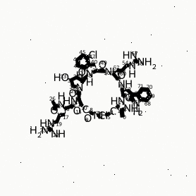 C=C(N)[C@@H]1CCCNC(=O)CC[C@H](NC(=O)[C@H](CCCNC(=N)N)NC(C)=O)C(=O)N2C[C@H](O)C[C@H]2C(=O)N[C@H](Cc2ccccc2Cl)C(=O)N[C@@H](CCCNC(=N)N)C(=O)N[C@@H](Cc2c[nH]c3ccccc23)C(=O)N1